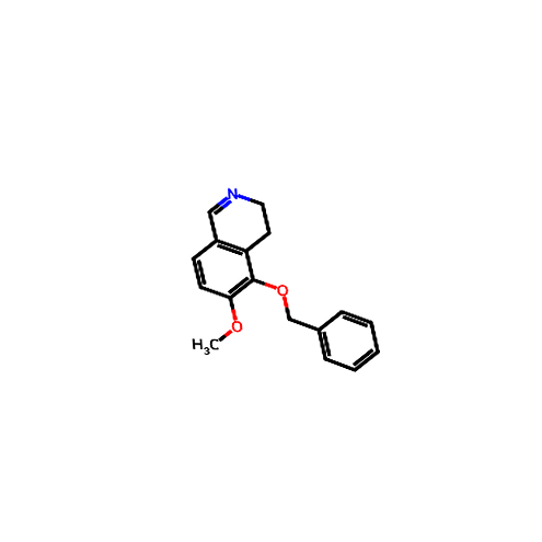 COc1ccc2c(c1OCc1ccccc1)CCN=C2